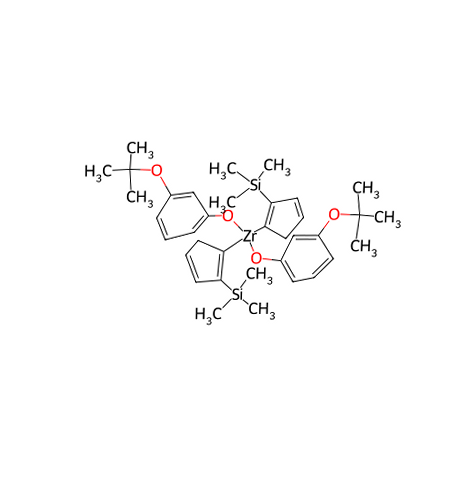 CC(C)(C)Oc1cccc([O][Zr]([O]c2cccc(OC(C)(C)C)c2)([C]2=C([Si](C)(C)C)C=CC2)[C]2=C([Si](C)(C)C)C=CC2)c1